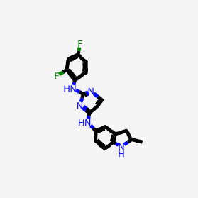 CC1Cc2cc(Nc3ccnc(Nc4ccc(F)cc4F)n3)ccc2N1